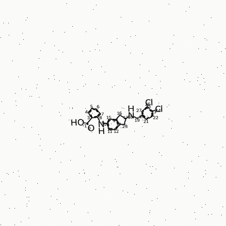 O=C(O)c1ccccc1Nc1ccc2c(c1)CC(NCc1ccc(Cl)c(Cl)c1)C2